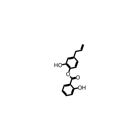 C=CCc1ccc(OC(=O)c2ccccc2O)c(O)c1